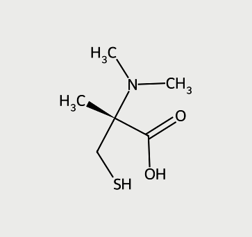 CN(C)[C@@](C)(CS)C(=O)O